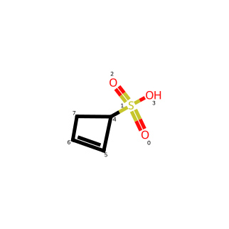 O=S(=O)(O)C1C=CC1